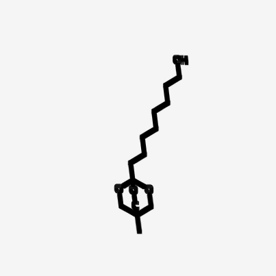 CC12COC(CCCCCCCCO)(OC1)OC2